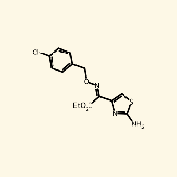 CCOC(=O)/C(=N\OCc1ccc(Cl)cc1)c1csc(N)n1